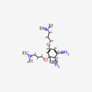 CCCCC1(OCCCN(CC)CC)C=C(OCCCN(CC)CC)C=C(N)C1N